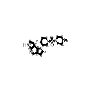 C[C@@H]1CCN(S(=O)(=O)N2CCN(C)CC2)C[C@@H]1n1ccc2cnc3[nH]ccc3c21